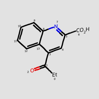 CCC(=O)c1cc(C(=O)O)nc2ccccc12